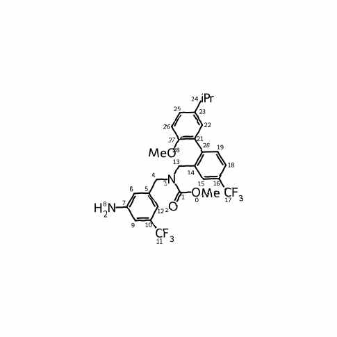 COC(=O)N(Cc1cc(N)cc(C(F)(F)F)c1)Cc1cc(C(F)(F)F)ccc1-c1cc(C(C)C)ccc1OC